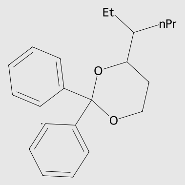 CCCC(CC)C1CCOC(c2[c]cccc2)(c2ccccc2)O1